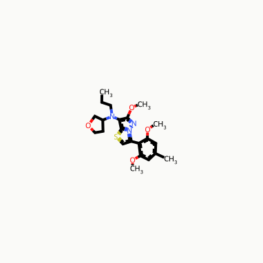 CCCN(c1c(OC)nn2c(-c3c(OC)cc(C)cc3OC)csc12)C1CCOC1